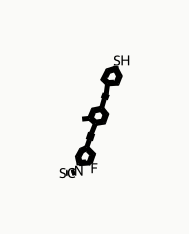 Cc1cc(C#Cc2ccc(S)cc2)ccc1C#Cc1ccc(N=C=S)c(F)c1